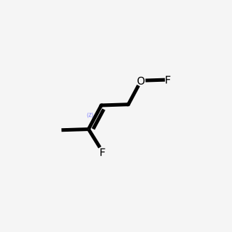 C/C(F)=C/COF